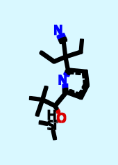 CCC(C#N)(CC)c1cccc(C(O[SiH](C)C)C(C)(C)C)n1